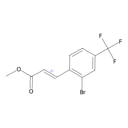 COC(=O)/C=C/c1ccc(C(F)(F)F)cc1Br